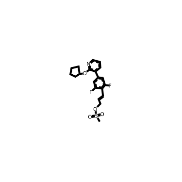 CS(=O)(=O)OC/C=C/c1c(F)cc(-c2cccnc2OC2CCCC2)cc1F